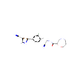 Cc1nc(-c2ccc(C[C@@H](C#N)NC(=O)C3CNCCCO3)c(F)c2)sc1C#N